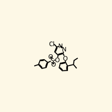 CCC(C)c1ccccc1Oc1nnc(Cl)cc1OS(=O)(=O)c1ccc(C)cc1